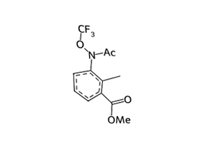 COC(=O)c1cccc(N(OC(F)(F)F)C(C)=O)c1C